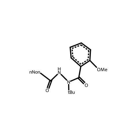 CCCCCCCCCC(=O)NN(C(=O)c1ccccc1OC)C(C)(C)C